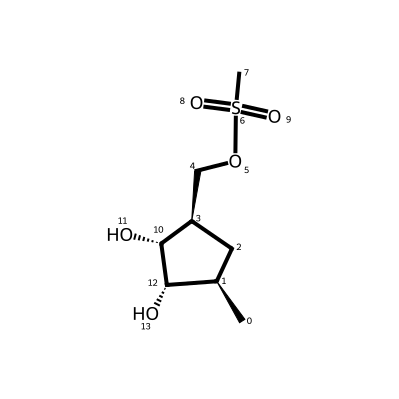 C[C@@H]1C[C@H](COS(C)(=O)=O)[C@@H](O)[C@H]1O